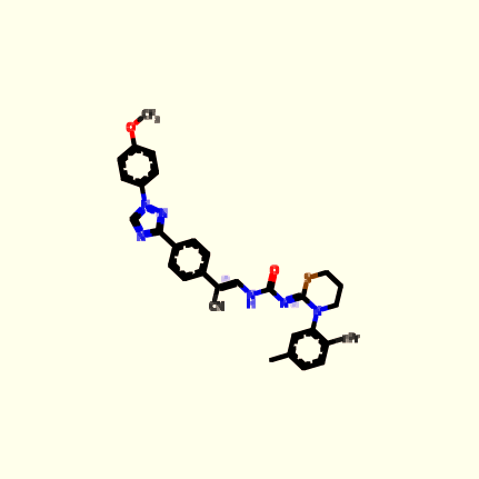 CCCc1ccc(C)cc1N1CCCS/C1=N\C(=O)N/C=C(\C#N)c1ccc(-c2ncn(-c3ccc(OC(F)(F)F)cc3)n2)cc1